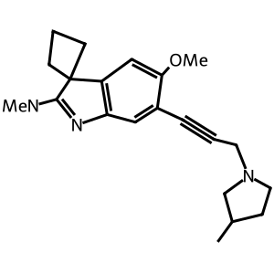 CNC1=Nc2cc(C#CCN3CCC(C)C3)c(OC)cc2C12CCC2